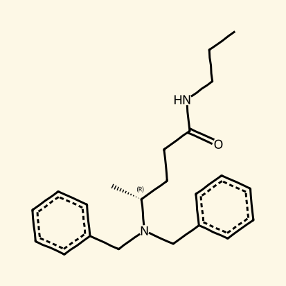 CCCNC(=O)CC[C@@H](C)N(Cc1ccccc1)Cc1ccccc1